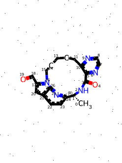 C[C@H]1NC(=O)c2nccnc2CCCCCn2c(C=O)cc3ccc1nc32